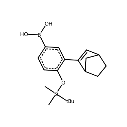 CC(C)(C)[Si](C)(C)Oc1ccc(B(O)O)cc1C1=CC2CCC1C2